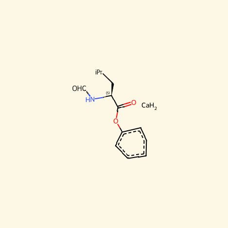 CC(C)C[C@H](NC=O)C(=O)Oc1ccccc1.[CaH2]